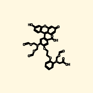 O=COCN(COC=O)c1cc(-c2c3ccc(=O)cc-3oc3cc(O)ccc23)c(C(=O)O)cc1OCCOc1ccccc1N(COC=O)CC(=O)O